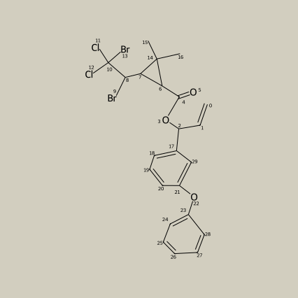 C=CC(OC(=O)C1C(C(Br)C(Cl)(Cl)Br)C1(C)C)c1cccc(Oc2ccccc2)c1